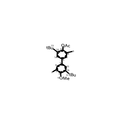 COc1c(C)cc(-c2cc(C)c(OC(C)=O)c(C(C)(C)C)c2)cc1C(C)(C)C